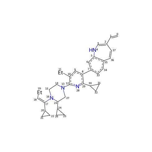 C=CC1=CNc2cc(-c3cc(CC)c(N4CCN(/C(=C\CC)C5CC5)C(C5CC5)C4)nc3C3CC3)ccc2C=C1